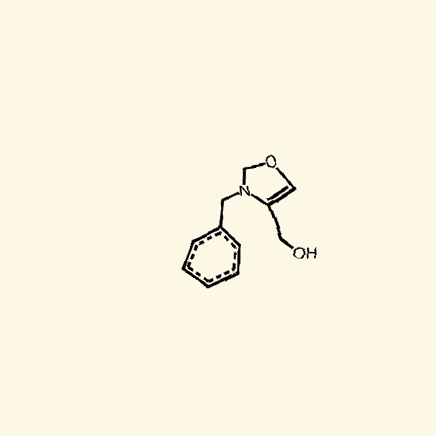 OCC1=COCN1Cc1ccccc1